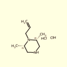 C=CCN1[C@H](C)CNC[C@@H]1C.Cl.Cl